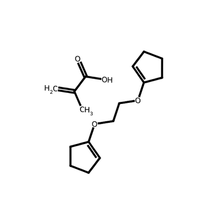 C1=C(OCCOC2=CCCC2)CCC1.C=C(C)C(=O)O